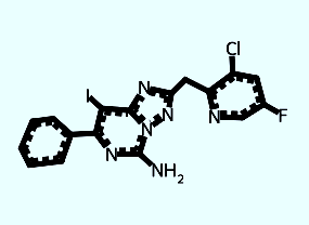 Nc1nc(-c2ccccc2)c(I)c2nc(Cc3ncc(F)cc3Cl)nn12